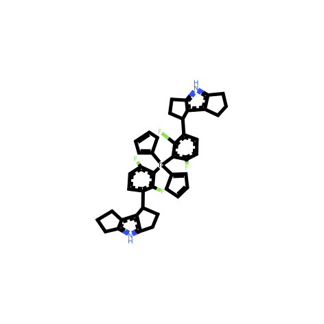 Fc1ccc(C2CCc3[nH]c4c(c32)CCC4)c(F)[c]1[Ti]([C]1=CC=CC1)([C]1=CC=CC1)[c]1c(F)ccc(C2CCc3[nH]c4c(c32)CCC4)c1F